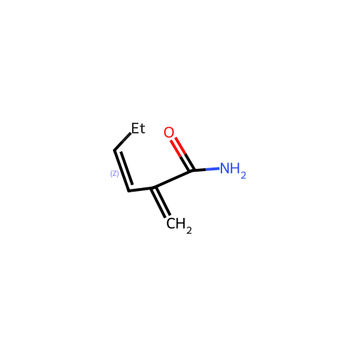 C=C(/C=C\CC)C(N)=O